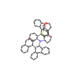 c1ccc(N(c2c(-c3cccc4ccccc34)c3ccccc3c3ccccc23)c2cccc3c2sc2ccccc23)c(-c2cccc3oc4ccccc4c23)c1